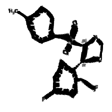 Cc1ccc(S(=O)(=O)[C@H]2N=CO[C@@H]2c2ccc(F)cc2F)cc1